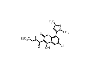 CCOC(=O)CNC(=O)c1c(O)c2cc(Cl)cc(-c3cc(C(F)(F)F)nn3C)c2sc1=O